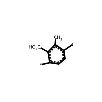 Cc1c(I)ccc(F)c1C(=O)O